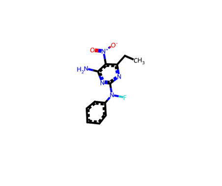 CCc1nc(N(F)c2ccccc2)nc(N)c1[N+](=O)[O-]